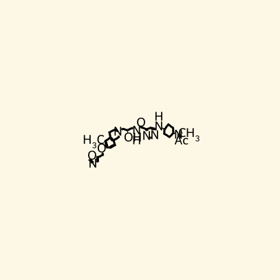 CC(=O)N(C)[C@H]1CC[C@@H](Nc2cc(C(=O)NC[C@H](O)CN3CCc4c(ccc(OCc5cnco5)c4C)C3)ncn2)CC1